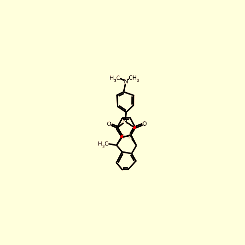 CN(C)c1ccc(-n2c(=O)n3n(c2=O)C2(C)c4ccccc4C3c3ccccc32)cc1